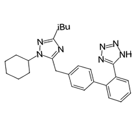 CCC(C)c1nc(Cc2ccc(-c3ccccc3-c3nnn[nH]3)cc2)n(C2CCCCC2)n1